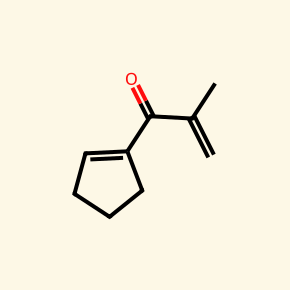 C=C(C)C(=O)C1=CCCC1